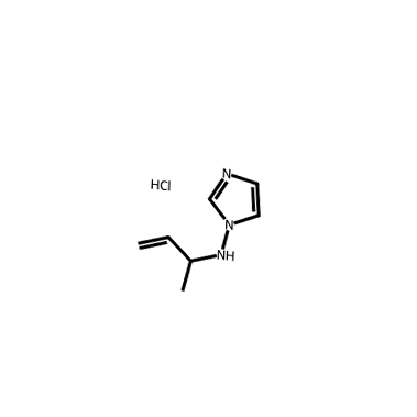 C=CC(C)Nn1ccnc1.Cl